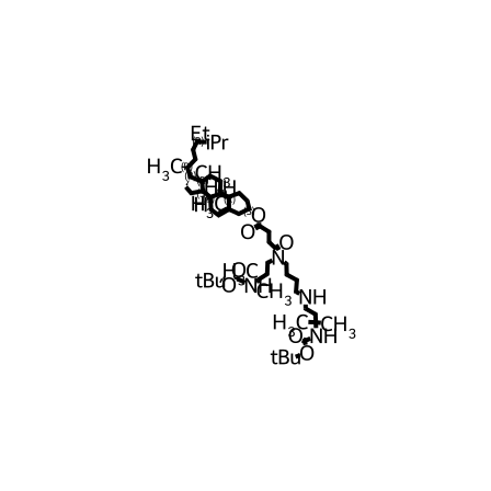 CC[C@H](CC[C@@H](C)[C@H]1CC[C@H]2[C@@H]3CC=C4C[C@@H](OC(=O)CCC(=O)N(CCCCNCCC(C)(C)NC(=O)OC(C)(C)C)CCC(C)(C)NC(=O)OC(C)(C)C)CC[C@]4(C)[C@H]3CC[C@]12C)C(C)C